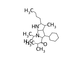 CCCCC1NC2C(C1C)C(C1CCCCC1)C(C(=O)C(C)C)N2C(C)C